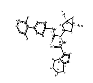 Cc1ccnc(C)c1-c1ccc(NC(=O)[C@@H](NC(=O)c2ccc3n2CCNC3)[C@H]2C[C@H]3C[C@H]3C2)cc1